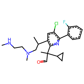 CNCCN(C)CC(C)c1cc(Cl)c(-c2ccccc2F)nc1C(C)(C=O)C1CC1